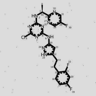 C[C@H](Nc1nc(Cl)nc(Nc2cc(CCc3ccc(F)cc3F)[nH]n2)n1)c1ncc(F)cn1